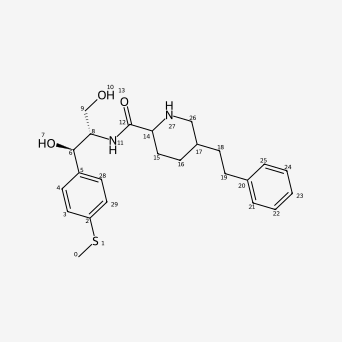 CSc1ccc([C@@H](O)[C@H](CO)NC(=O)C2CCC(CCc3ccccc3)CN2)cc1